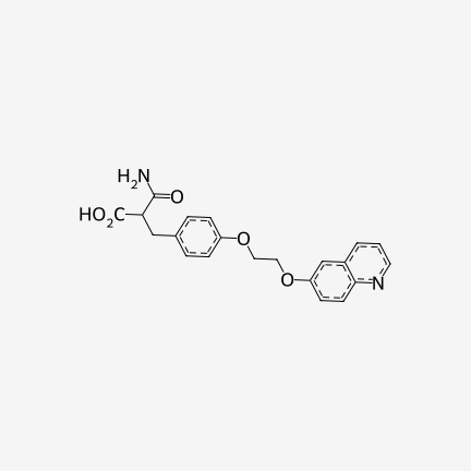 NC(=O)C(Cc1ccc(OCCOc2ccc3ncccc3c2)cc1)C(=O)O